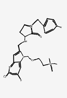 C[Si](C)(C)CCOCn1c(CNC2CCN(Cc3ccc(F)cc3)C2=O)cc2nc(Cl)c(F)cc21